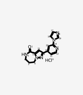 Cl.O=C1NCCCn2nc(-c3ccnc(-n4ccnc4)c3)cc21